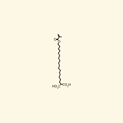 C=C(C)C(=O)OCCCCCCCCCCCCCCCCCC(C(=O)O)C(=O)O